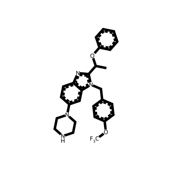 CC(Oc1ccccc1)c1nc2ccc(N3CCNCC3)cc2n1Cc1ccc(OC(F)(F)F)cc1